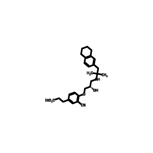 CCOC(=O)CCc1ccc(OC[C@@H](O)CNC(C)(C)Cc2ccc3c(c2)CCCC3)c(C#N)c1